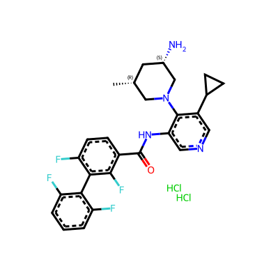 C[C@@H]1C[C@H](N)CN(c2c(NC(=O)c3ccc(F)c(-c4c(F)cccc4F)c3F)cncc2C2CC2)C1.Cl.Cl